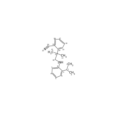 CC(C)c1ccccc1NCC(C)(C)c1ccccc1C#N